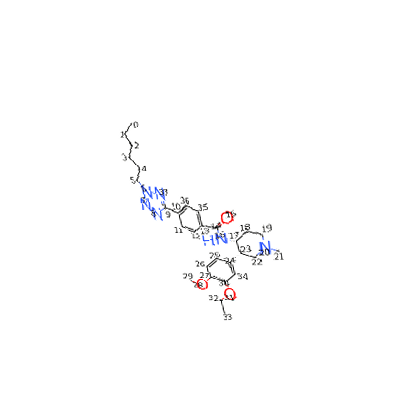 CCCCCCn1nnc(-c2ccc(C(=O)N[C@@H]3CCN(C)C[C@@H]3c3ccc(OC)c(OCC)c3)cc2)n1